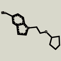 CC(C)(C)c1ccc2c(ccn2CCOC2CCCC2)c1